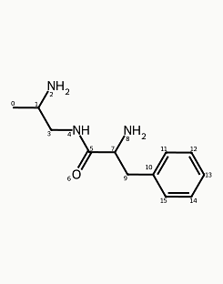 CC(N)CNC(=O)C(N)Cc1ccccc1